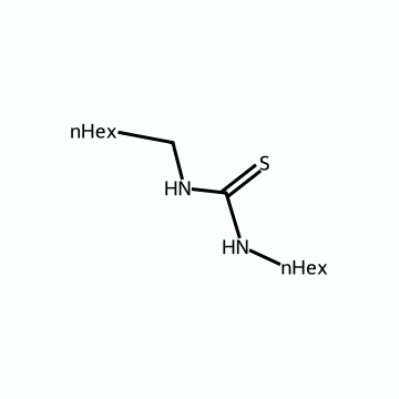 CCCCCCCNC(=S)NCCCCCC